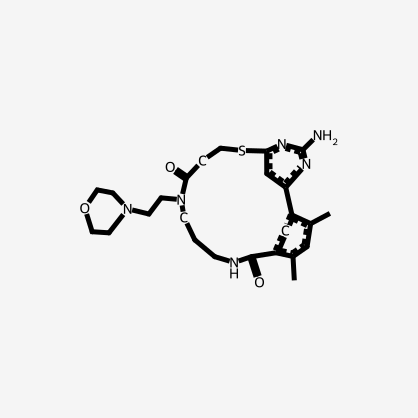 Cc1cc(C)c2cc1C(=O)NCCCN(CCN1CCOCC1)C(=O)CCSc1cc-2nc(N)n1